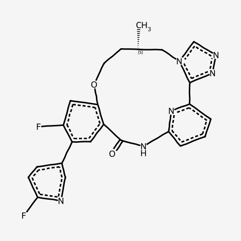 C[C@H]1CCOc2cc(F)c(-c3ccc(F)nc3)cc2C(=O)Nc2cccc(n2)-c2nncn2C1